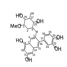 COC1CC(CC2=CC3C(O)=CC(O)=CC3C=C2c2ccc(O)c(O)c2)C(O)C(C)C1O